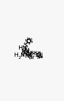 Nc1nc(NCCc2ccccc2)nc2c1nc(Br)n2CCCc1ccncc1